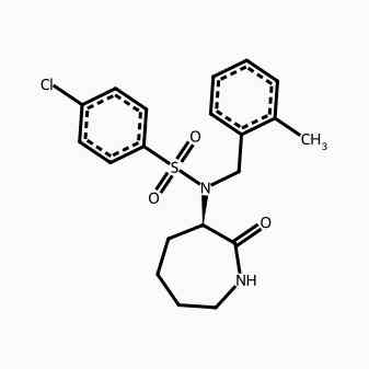 Cc1ccccc1CN([C@@H]1CCCCNC1=O)S(=O)(=O)c1ccc(Cl)cc1